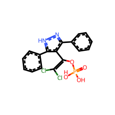 O=P(O)(O)OC(=C(Cl)Cl)c1c(-c2ccccc2)n[nH]c1-c1ccccc1